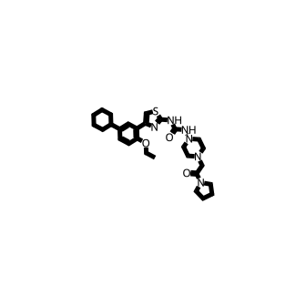 CCOc1ccc(C2CCCCC2)cc1-c1csc(NC(=O)NN2CCN(CC(=O)N3CCCC3)CC2)n1